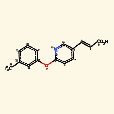 O=C(O)/C=C/c1ccc(Oc2cccc(C(F)(F)F)c2)nc1